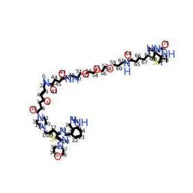 CN(C/C=C/C(=O)CCC(=O)N1CCN(Cc2cc3nc(-c4cccc5[nH]ncc45)nc(N4CCOCC4)c3s2)CC1)C(=O)CCC(=O)NCCCOCCOCCOCCCNC(=O)CCCC[C@@H]1SC[C@@H]2NC(=O)N[C@@H]21